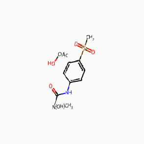 CC(=O)OO.CN(O)C(=O)Nc1ccc(S(C)(=O)=O)cc1